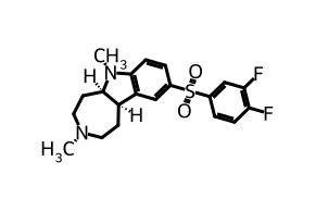 CN1CC[C@@H]2c3cc(S(=O)(=O)c4ccc(F)c(F)c4)ccc3N(C)[C@@H]2CC1